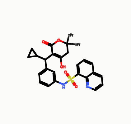 CCCC1(CCC)CC(O)=C(C(c2cccc(NS(=O)(=O)c3cccc4cccnc34)c2)C2CC2)C(=O)O1